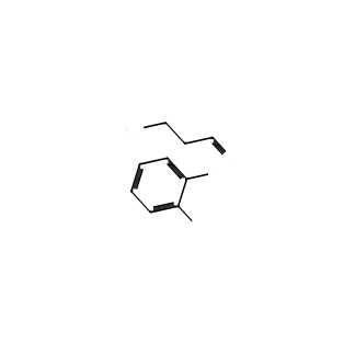 CCCC=O.O=Cc1ccccc1O